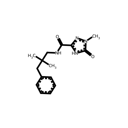 Cn1nc(C(=O)NCC(C)(C)Cc2ccccc2)[nH]c1=O